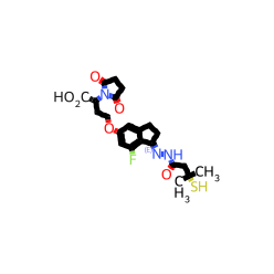 CC(C)(S)CC(=O)N/N=C1\CCc2cc(OCCC(C(=O)O)N3C(=O)CCC3=O)cc(F)c21